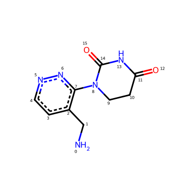 NCc1ccnnc1N1CCC(=O)NC1=O